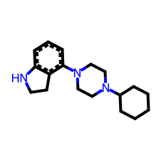 c1cc2c(c(N3CCN(C4CCCCC4)CC3)c1)CCN2